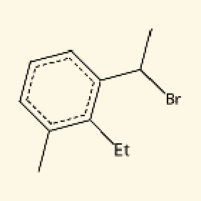 CCc1c(C)cccc1C(C)Br